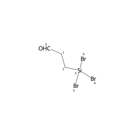 O=CCC[Si](Br)(Br)Br